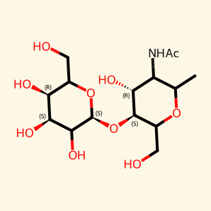 CC(=O)NC1C(C)OC(CO)[C@@H](O[C@@H]2OC(CO)[C@H](O)[C@H](O)C2O)[C@@H]1O